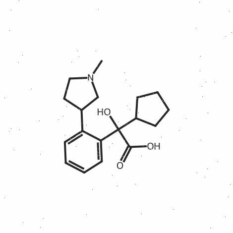 CN1CCC(c2ccccc2C(O)(C(=O)O)C2CCCC2)C1